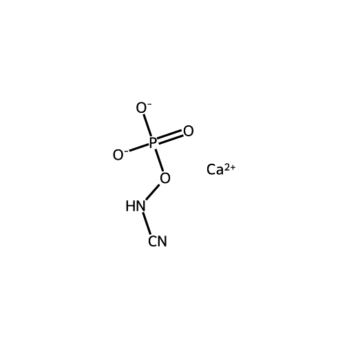 N#CNOP(=O)([O-])[O-].[Ca+2]